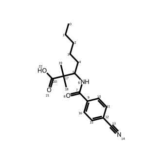 CCCCCC(NC(=O)c1ccc(C#N)cc1)C(C)(C)C(=O)O